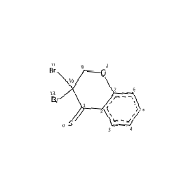 S=C1c2ccccc2OCC1(Br)Br